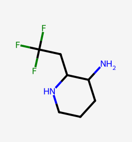 NC1CCCNC1CC(F)(F)F